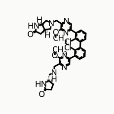 COc1nc(-c2cccc(-c3cccc(-c4cnc(CN5C[C@H]6CC(=O)N[C@H]6C5)c(OC)n4)c3Cl)c2Cl)cnc1CNC[C@@H]1CCC(=O)N1